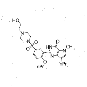 CCCOc1ccc(S(=O)(=O)N2CCN(CCO)CC2)cc1-c1nc2c(CCC)cn(C)c2c(=O)[nH]1